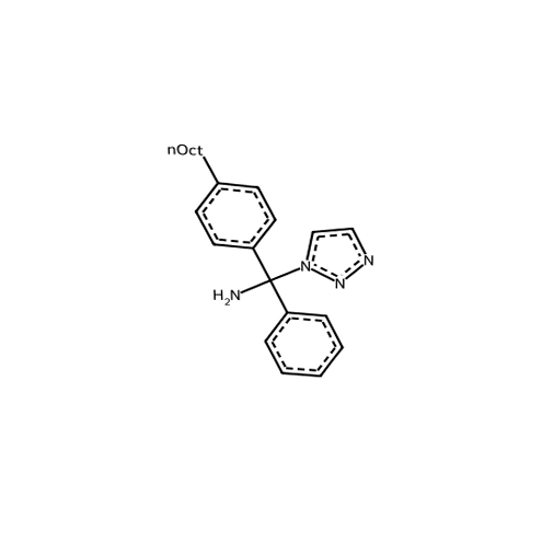 CCCCCCCCc1ccc(C(N)(c2ccccc2)n2ccnn2)cc1